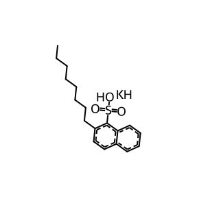 CCCCCCCCc1ccc2ccccc2c1S(=O)(=O)O.[KH]